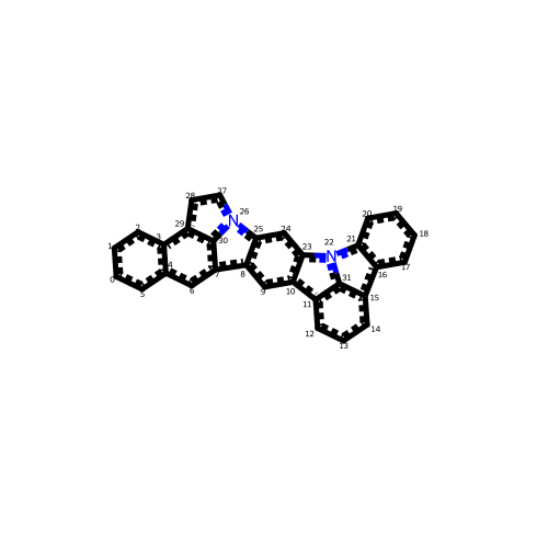 c1ccc2c(c1)cc1c3cc4c5cccc6c7ccccc7n(c4cc3n3ccc2c13)c65